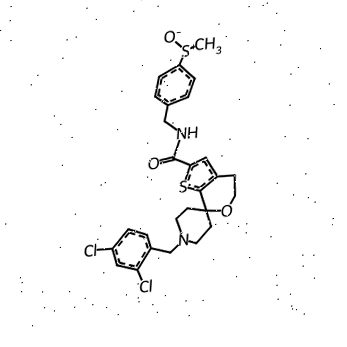 C[S+]([O-])c1ccc(CNC(=O)c2cc3c(s2)C2(CCN(Cc4ccc(Cl)cc4Cl)CC2)OCC3)cc1